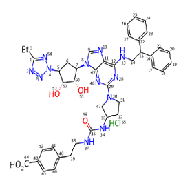 CCc1nnn([C@H]2C[C@@H](n3cnc4c(NCC(c5ccccc5)c5ccccc5)nc(N5CCC(NC(=O)NCCc6ccc(C(=O)O)cc6)C5)nc43)[C@H](O)[C@@H]2O)n1.Cl